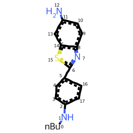 CCCCNc1ccc(-c2nc3ccc(N)cc3s2)cc1